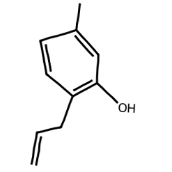 C=CCc1ccc(C)cc1O